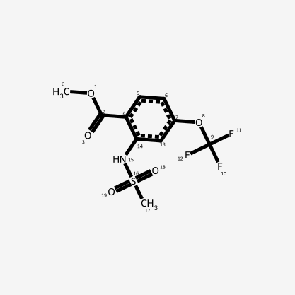 COC(=O)c1ccc(OC(F)(F)F)cc1NS(C)(=O)=O